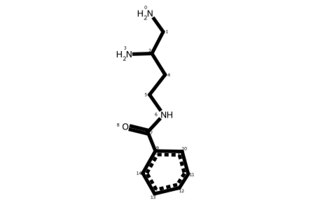 NCC(N)CCNC(=O)c1ccccc1